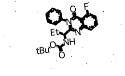 CCC(NC(=O)OC(C)(C)C)c1nc2cccc(F)c2c(=O)n1-c1ccccc1